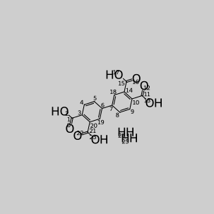 O=C(O)c1ccc(-c2ccc(C(=O)O)c(C(=O)O)c2)cc1C(=O)O.[HH].[HH]